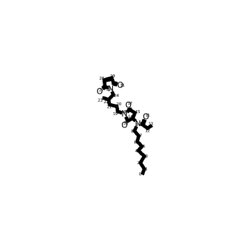 CCCCCCCCCN(C(=O)CC)C1CC(=O)N(CCCC(C)CN2C(=O)C=CC2=O)C1=O